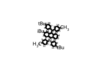 CCC(C)c1ccc2c(N(c3ccc(C)cc3)c3ccc(C(C)(C)C)cc3)c3ccccc3c(C(c3ccc(C)cc3)c3ccc(C(C)(C)C)cc3)c2c1